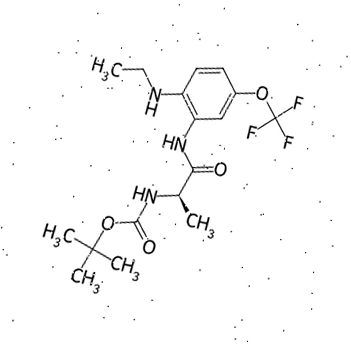 CCNc1ccc(OC(F)(F)F)cc1NC(=O)[C@@H](C)NC(=O)OC(C)(C)C